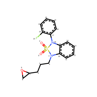 O=S1(=O)N(CCCC2CO2)c2ccccc2N1c1ccccc1F